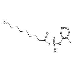 CCCCCCCCCCCCCCCCCC(=O)OS(=O)(=O)Oc1ccccc1C